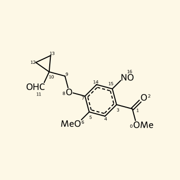 COC(=O)c1cc(OC)c(OCC2(C=O)CC2)cc1N=O